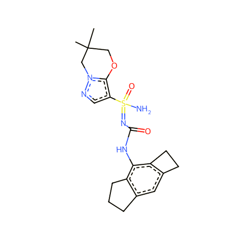 CC1(C)COc2c(S(N)(=O)=NC(=O)Nc3c4c(cc5c3CC5)CCC4)cnn2C1